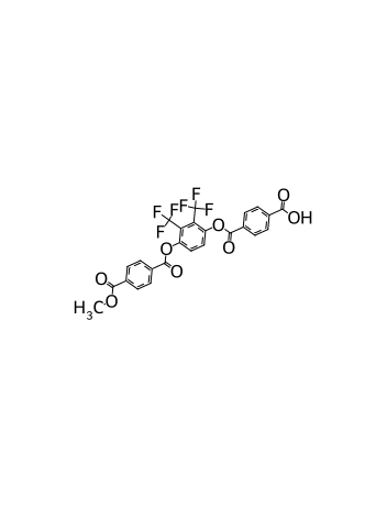 COC(=O)c1ccc(C(=O)Oc2ccc(OC(=O)c3ccc(C(=O)O)cc3)c(C(F)(F)F)c2C(F)(F)F)cc1